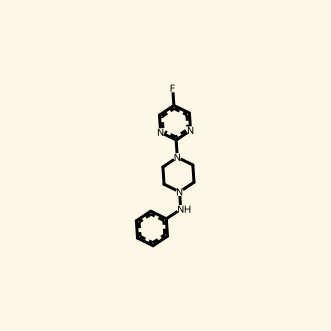 Fc1cnc(N2CCN(Nc3ccccc3)CC2)nc1